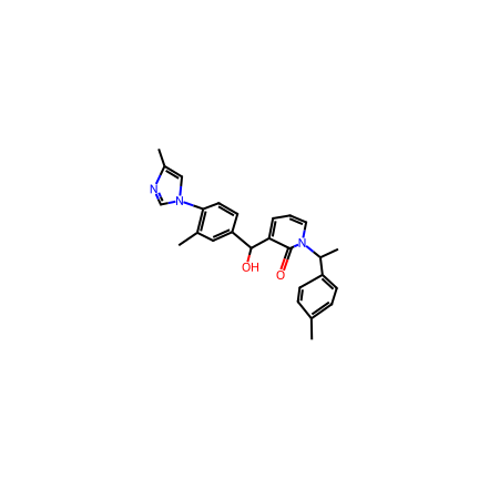 Cc1ccc(C(C)n2cccc(C(O)c3ccc(-n4cnc(C)c4)c(C)c3)c2=O)cc1